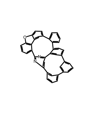 c1cc2cc(c1)c1ccc3c(c1)c1cc(nc(n1)c1cccc4oc5ccc(cc5c41)c1ccccc13)c1cccc2c1